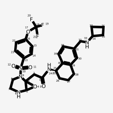 O=C(CC12OC1NCCN2S(=O)(=O)c1ccc(OC(F)(F)F)cc1)N[C@@H]1CCCc2cc(CNC3CCC3)ccc21